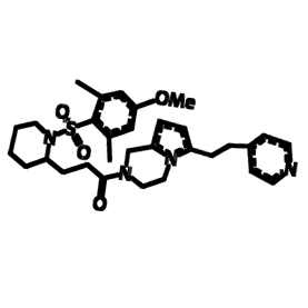 COc1cc(C)c(S(=O)(=O)N2CCCCC2CCC(=O)N2CCn3c(CCc4ccncc4)ccc3C2)c(C)c1